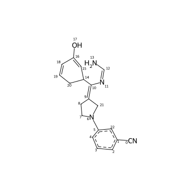 N#Cc1cccc(N2CC/C(=C(/N=C\N)C3C=C(O)C=CC3)C2)c1